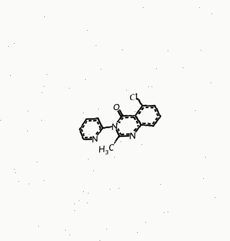 Cc1nc2cccc(Cl)c2c(=O)n1-c1ccccn1